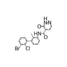 Cc1c(NC(=O)c2ccn[nH]c2=O)cccc1-c1cccc(Br)c1Cl